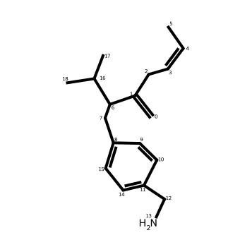 C=C(C/C=C\C)C(Cc1ccc(CN)cc1)C(C)C